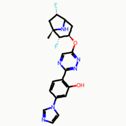 C[C@]12C[C@H](F)C(C[C@@H](Oc3cnc(-c4ccc(-n5ccnc5)cc4O)nn3)[C@@H]1F)N2